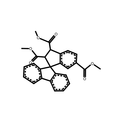 COC(=O)c1ccc2c(c1)C1(c3ccccc3-c3ccccc31)C(C(=O)OC)C2C(=O)OC